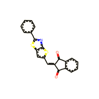 O=C1C(=Cc2cc3sc(-c4ccccc4)nc3s2)C(=O)c2ccccc21